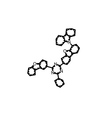 c1ccc(-c2nc(-c3ccc4c(c3)oc3c(-n5c6ccccc6c6ccccc65)cccc34)nc(-c3ccc4oc5ccccc5c4c3)n2)cc1